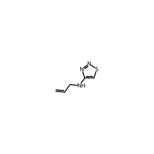 C=CCNc1csnn1